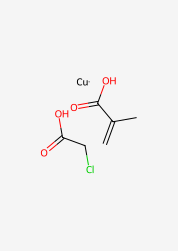 C=C(C)C(=O)O.O=C(O)CCl.[Cu]